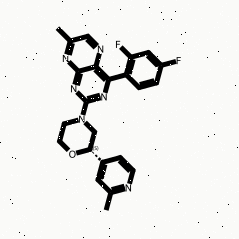 Cc1cc([C@H]2CN(c3nc(-c4ccc(F)cc4F)c4ncc(C)nc4n3)CCO2)ccn1